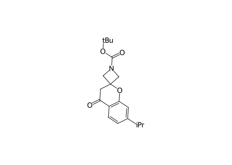 CC(C)c1ccc2c(c1)OC1(CC2=O)CN(C(=O)OC(C)(C)C)C1